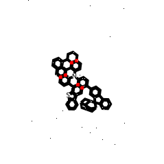 c1ccc(N(c2ccc(-c3ccc4c(c3)C3(c5ccccc5-4)C4CC5CC(C4)CC3C5)cc2)c2ccccc2-c2cccc3cccc(C4CCCCC4)c23)c(-c2cccc3c2sc2ccccc23)c1